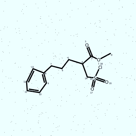 COC(=O)C(CCCc1ccccc1)CS(=O)(=O)Cl